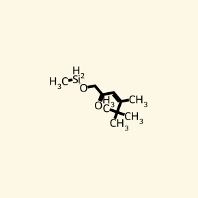 C[SiH2]OCC(=O)C=C(C)C(C)(C)C